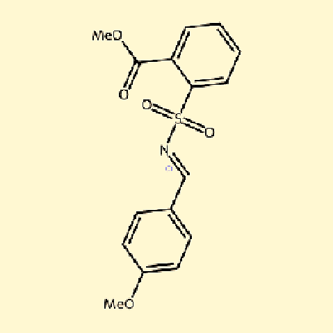 COC(=O)c1ccccc1S(=O)(=O)/N=C/c1ccc(OC)cc1